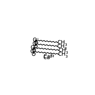 CCCCCCCCCCCCCCCC(=O)[O-].CCCCCCCCCCCCCCCC(=O)[O-].CCCCCCCCCCCCCCCCCC(=O)[O-].CCCCCCCCCCCCCCCCCC(=O)[O-].[Ca+2].[Ca+2]